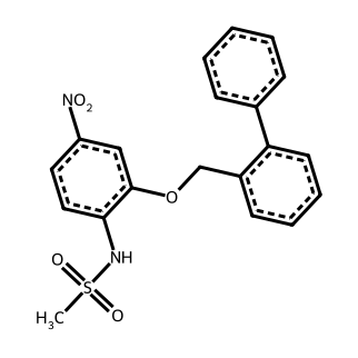 CS(=O)(=O)Nc1ccc([N+](=O)[O-])cc1OCc1ccccc1-c1ccccc1